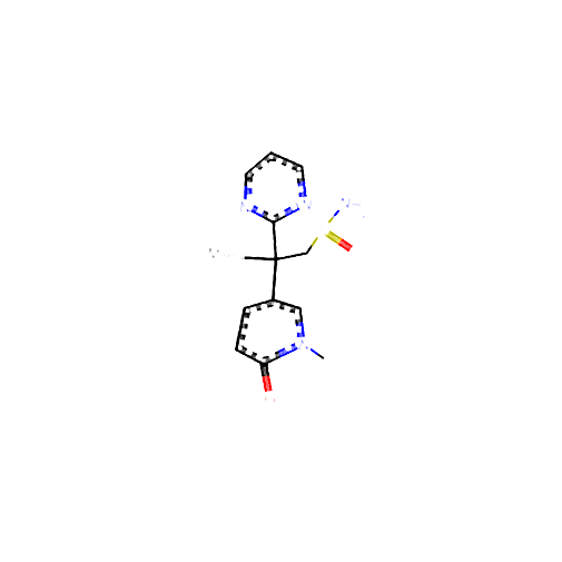 COC(CS(N)(=O)=O)(c1ccc(=O)n(C)c1)c1ncccn1